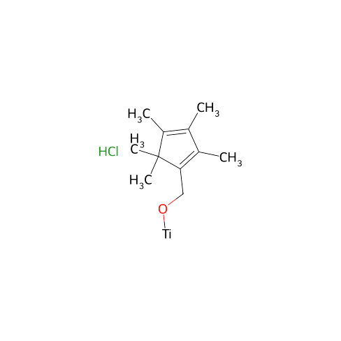 CC1=C(C)C(C)(C)C(C[O][Ti])=C1C.Cl